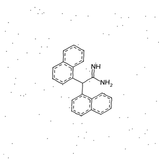 N=C(N)C(c1cccc2ccccc12)c1cccc2ccccc12